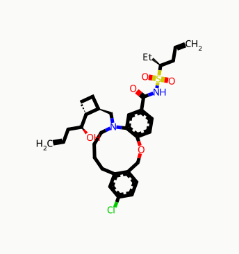 C=CC[C@H](CC)S(=O)(=O)NC(=O)c1ccc2c(c1)N(C[C@@H]1CC[C@H]1[C@@H](O)CC=C)CCCCc1cc(Cl)ccc1CO2